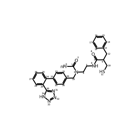 CCCC(=O)N(CCNC(=O)C(CS)Cc1ccccc1)Cc1ccc(-c2ccccc2-c2nnn[nH]2)cc1